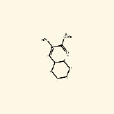 CCCC(=CC1CCCCC1)C(=O)OC